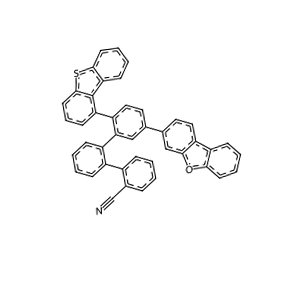 N#Cc1ccccc1-c1ccccc1-c1cc(-c2ccc3c(c2)oc2ccccc23)ccc1-c1cccc2sc3ccccc3c12